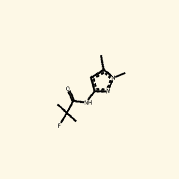 Cc1cc(NC(=O)C(C)(C)F)nn1C